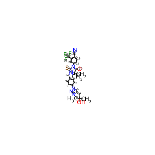 CC(C)(O)Cc1cn(-c2ccc(CN3C(=S)N(c4ccc(C#N)c(C(F)(F)F)c4)C(=O)C3(C)C)cc2)nn1